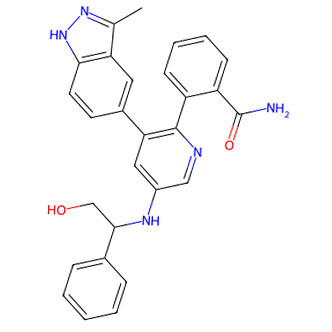 Cc1n[nH]c2ccc(-c3cc(NC(CO)c4ccccc4)cnc3-c3ccccc3C(N)=O)cc12